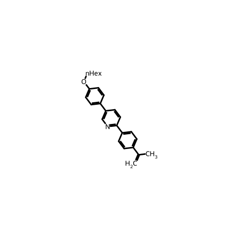 C=C(C)c1ccc(-c2ccc(-c3ccc(OCCCCCC)cc3)cn2)cc1